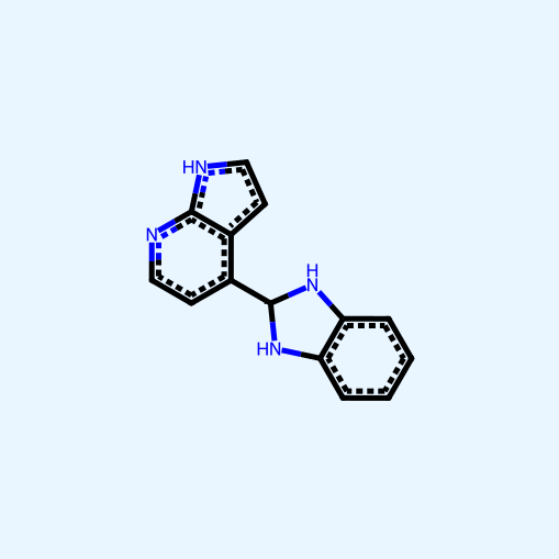 c1ccc2c(c1)N[C](c1ccnc3[nH]ccc13)N2